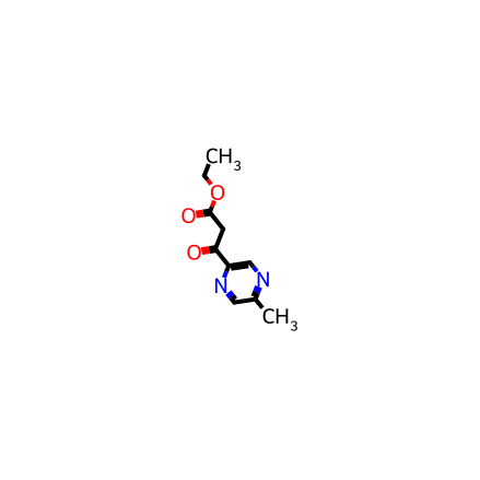 CCOC(=O)CC(=O)c1cnc(C)cn1